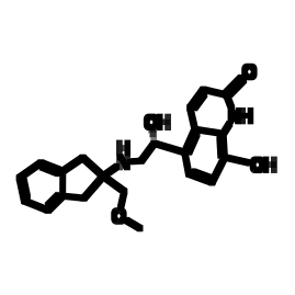 COCC1(NC[C@H](O)c2ccc(O)c3[nH]c(=O)ccc23)Cc2ccccc2C1